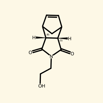 O=C1[C@@H]2C3C=CC(C3)[C@@H]2C(=O)N1CCO